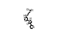 CCN(CC)CCCNc1cc(-n2[nH]cc(-c3cccnc3)c2=O)ncn1